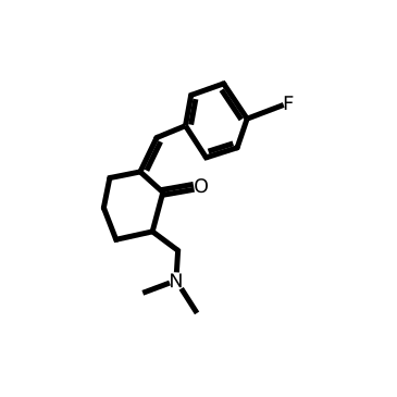 CN(C)CC1CCCC(=Cc2ccc(F)cc2)C1=O